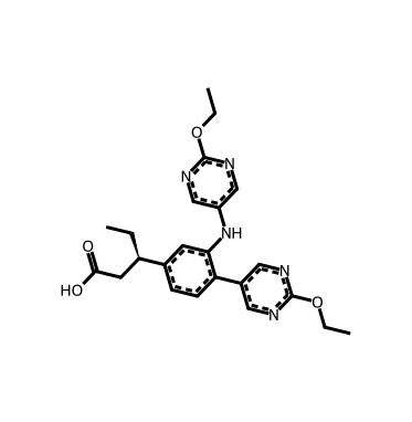 CCOc1ncc(Nc2cc([C@H](CC)CC(=O)O)ccc2-c2cnc(OCC)nc2)cn1